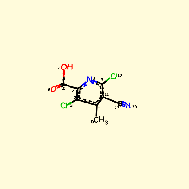 Cc1c(Cl)c(C(=O)O)nc(Cl)c1C#N